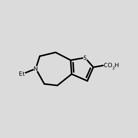 CCN1CCc2cc(C(=O)O)sc2CC1